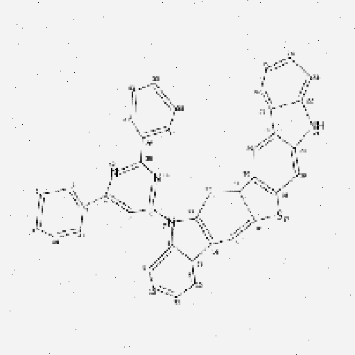 c1ccc(-c2cc(-n3c4ccccc4c4cc5sc6cc7[nH]c8ccccc8c7cc6c5cc43)nc(-c3ccccc3)n2)cc1